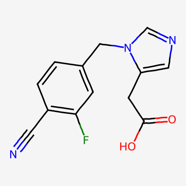 N#Cc1ccc(Cn2cncc2CC(=O)O)cc1F